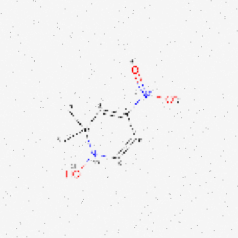 CC1(C)C=C([N+](=O)[O-])C=CN1O